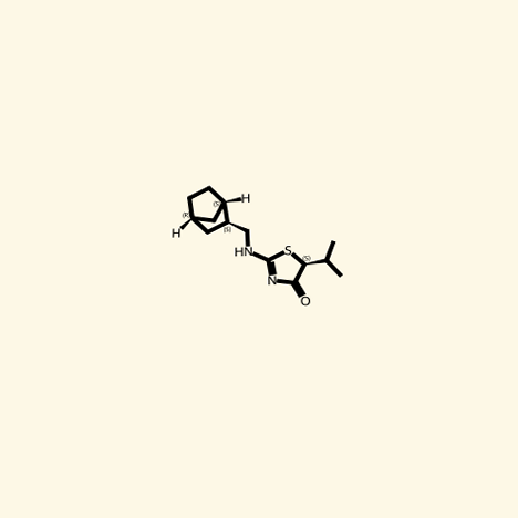 CC(C)[C@@H]1SC(NC[C@H]2C[C@@H]3CC[C@H]2C3)=NC1=O